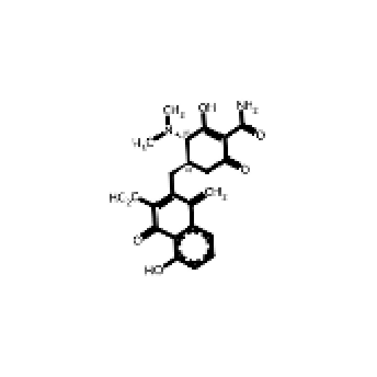 C=C1C(C[C@@H]2CC(=O)C(C(N)=O)=C(O)[C@H]2N(C)C)=C(C(=O)O)C(=O)c2c(O)cccc21